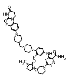 CN1CCN([C@@H]2CCCN(c3nnc(C(N)=O)c(Nc4ccc(N5CCN(CC6CCN(c7ccc(N8CCC(=O)NC8=O)c(F)c7)CC6)CC5)c(F)c4)n3)C2)C1=O